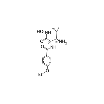 CCOc1ccc(C(=O)N[C@H](C(=O)NO)[C@H](N)C2CC2)cc1